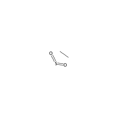 CC.O=S=O